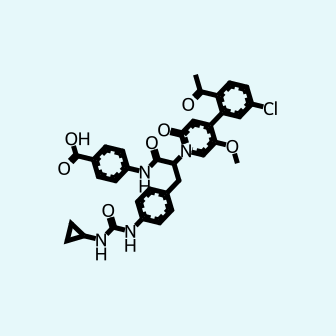 COc1cn(C(Cc2ccc(NC(=O)NC3CC3)cc2)C(=O)Nc2ccc(C(=O)O)cc2)c(=O)cc1-c1cc(Cl)ccc1C(C)=O